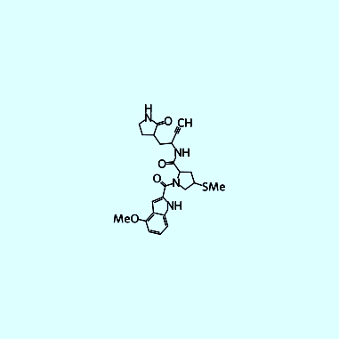 C#CC(CC1CCNC1=O)NC(=O)C1CC(SC)CN1C(=O)c1cc2c(OC)cccc2[nH]1